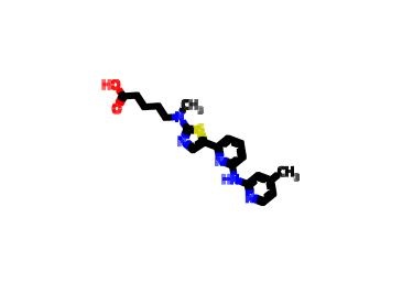 Cc1ccnc(Nc2cccc(-c3cnc(N(C)CCCCC(=O)O)s3)n2)c1